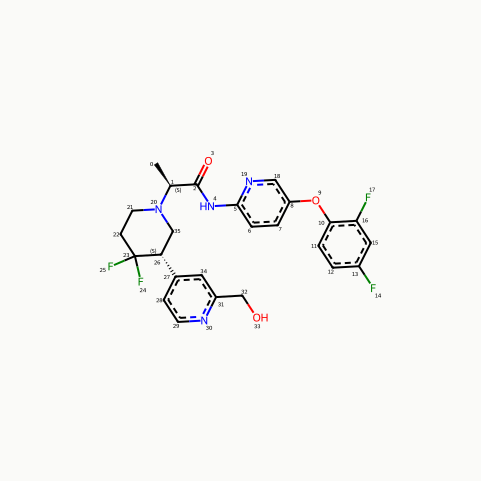 C[C@@H](C(=O)Nc1ccc(Oc2ccc(F)cc2F)cn1)N1CCC(F)(F)[C@@H](c2ccnc(CO)c2)C1